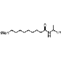 CCCCCCCCCCCCCCCCCC(=O)N[C](C)C(C)C